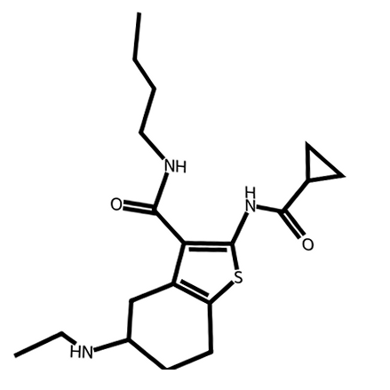 CCCCNC(=O)c1c(NC(=O)C2CC2)sc2c1CC(NCC)CC2